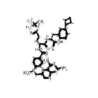 CN(Cc1cnc2nc(N)nc(N)c2n1)c1ccc(C(=O)N[C@@H](CCC(=O)OC(C)(C)C)C(=O)N[C@@H](Cc2cccc(C3CCC3)c2)C(=O)O)cc1